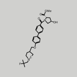 COC(=O)[C@@H]1C[C@@H](O)CN1C(=O)c1ccc(-c2ccc(OCC3CCN(CC(C)(C)F)CC3)cc2)cc1